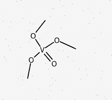 C[O][V](=[O])([O]C)[O]C